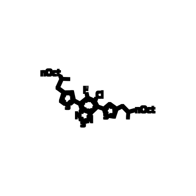 CCCCCCCCC(C)Cc1csc(-c2c(F)c(Cl)c(-c3cc(CC(C)CCCCCCCC)cs3)c3nsnc23)c1